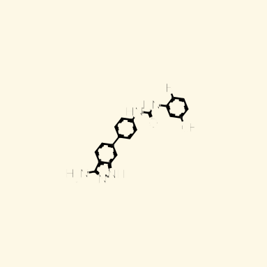 Nc1n[nH]c2cc(-c3ccc(NC(=O)Nc4cc(C(F)(F)F)ccc4F)cc3)ccc12